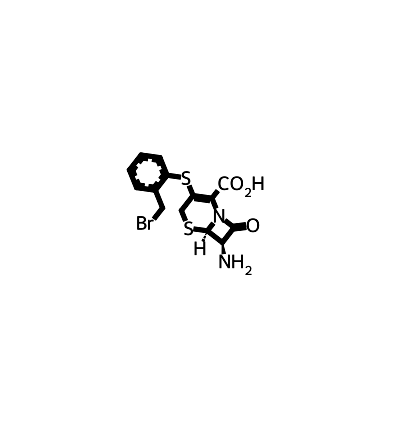 N[C@@H]1C(=O)N2C(C(=O)O)=C(Sc3ccccc3CBr)CS[C@H]12